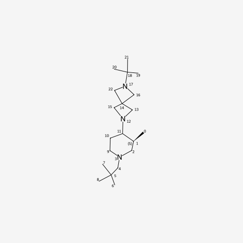 C[C@H]1CN(CC(C)(C)C)CCC1N1CC2(C1)CN(C(C)(C)C)C2